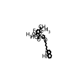 COc1c(F)cc(C(C)C)c(F)c1[C@@H](C(=O)O)N1CC[C@@H](OCCCCCc2ccc3c(n2)NCCC3)C1